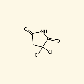 O=C1CC(Cl)(Cl)C(=O)N1